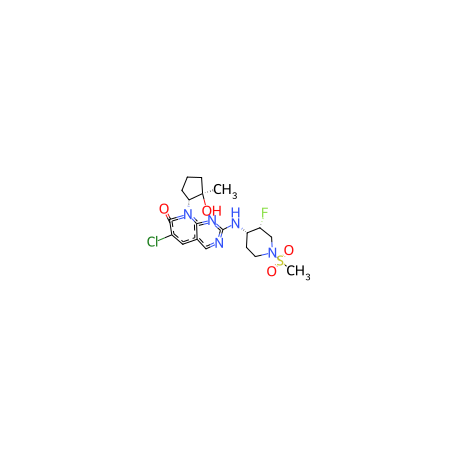 C[C@@]1(O)CCC[C@H]1n1c(=O)c(Cl)cc2cnc(N[C@H]3CCN(S(C)(=O)=O)C[C@H]3F)nc21